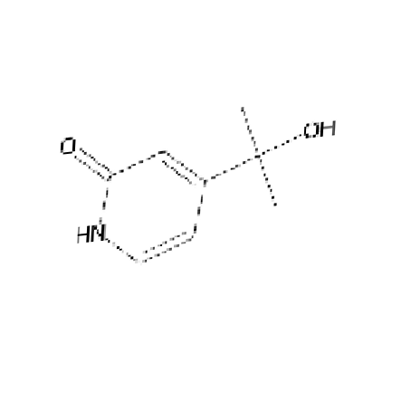 CC(C)(O)c1cc[nH]c(=O)c1